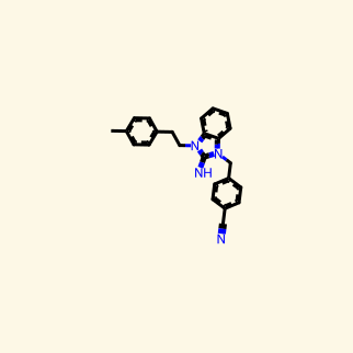 Cc1ccc(CCn2c(=N)n(Cc3ccc(C#N)cc3)c3ccccc32)cc1